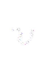 CCc1cc2ncc(CN3CCN(c4ccc(C(=O)N5CCC(CN6CCN(C(=O)c7ccc8ncn(Cc9ccccc9OCCN(C)C)c8n7)CC6)CC5)nc4)CC3)cc2[nH]c1=O